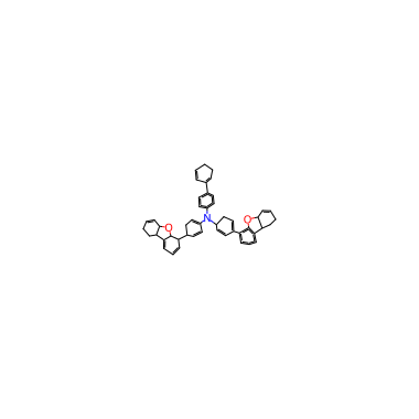 C1=CC(C2C=CC(N(c3ccc(C4=CCCC=C4)cc3)C3C=CC(c4cccc5c4OC4C=CCCC54)=CC3)=CC2)C2OC3C=CCCC3C2=C1